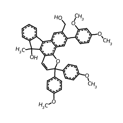 COc1ccc(C2(c3ccc(OC)cc3)C=Cc3c4c(c5cc(CO)c(-c6ccc(OC)cc6OC)cc5c3O2)-c2ccccc2C4(C)O)cc1